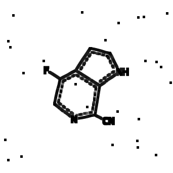 N#Cc1ncc(F)c2cc[nH]c12